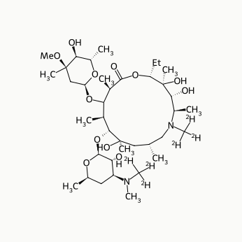 [2H]C([2H])([2H])N(C)[C@H]1C[C@@H](C)O[C@@H](O[C@@H]2[C@@H](C)C(O[C@H]3C[C@@](C)(OC)[C@@H](O)[C@H](C)O3)[C@@H](C)C(=O)O[C@H](CC)[C@@](C)(O)[C@H](O)[C@@H](C)N(C([2H])([2H])[2H])C[C@H](C)C[C@@]2(C)O)[C@@H]1O